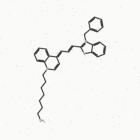 CCCCCCCCN1C=C/C(=C\C=C\c2sc3ccccc3[n+]2Cc2ccccc2)c2ccccc21